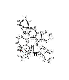 c1ccc(-c2nc(-n3c4ccccc4c4cc5c6ccccc6n6c7ccc8ccccc8c7c(c43)c56)c3sc4ccccc4c3n2)cc1